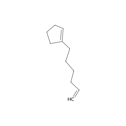 [CH]=CCCCCC1=CCCC1